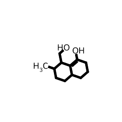 CC1CCC2CCCC(O)=C2C1CO